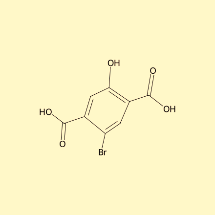 O=C(O)c1cc(Br)c(C(=O)O)cc1O